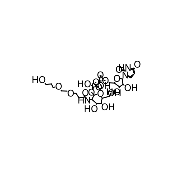 O=C(CCOCCOCCCO)NC1[C@@H](OP(=O)(O)OP(=O)(O)OCC2OC(n3ccc(=O)[nH]c3=O)C(O)C2O)OC(CO)[C@H](O)[C@@H]1O